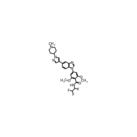 COc1cc(-n2cnc3cc(-c4cnn(C5CCN(C)CC5)c4)ccc32)cc(OC)c1C(=O)NC(F)C(F)F